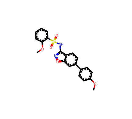 COc1ccc(-c2ccc3c(NS(=O)(=O)c4ccccc4OC)noc3c2)cc1